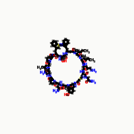 CCCC[C@H]1C(=O)N(C)[C@@H](CCCC)C(=O)N[C@@H](CCCN)C(=O)N[C@H](C(=O)NCC(N)=O)CSCC(=O)N[C@@H](Cc2ccc(O)cc2)C(=O)N(C)[C@@H](C)C(=O)N[C@@H](CC(N)=O)C(=O)N2CCC[C@H]2C(=O)N[C@@H](CN)C(=O)N[C@@H](CC(C)C)C(=O)N2CCC[C@H]2C(=O)N[C@H]2CC3=CS(#N)(c4ccccc43)n3cc(c4ccccc43)C[C@H](NC(=O)[C@H](CO)NC2=O)C(=O)N1C